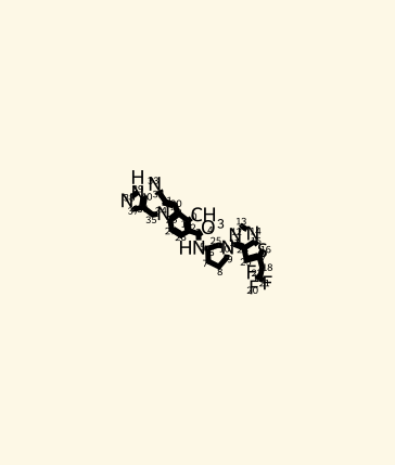 Cc1c(C(=O)NC2CCCN(c3ncnc4sc(CC(F)(F)F)cc34)C2)ccc2c1cc(C#N)n2Cc1cn[nH]c1